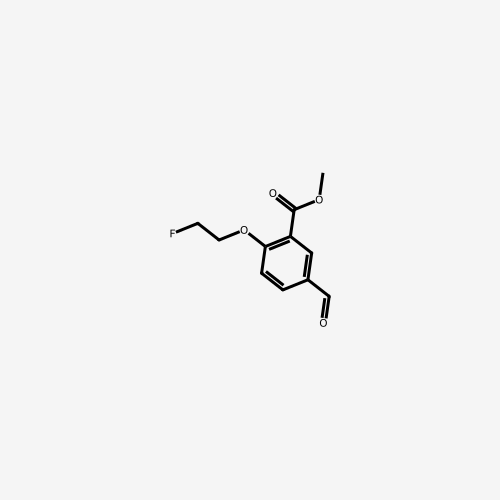 COC(=O)c1cc(C=O)ccc1OCCF